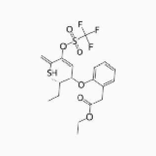 C=C(S)/C(=C\C(Oc1ccccc1CC(=O)OCC)[C@@H](C)CC)OS(=O)(=O)C(F)(F)F